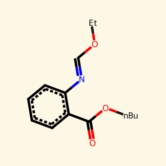 CCCCOC(=O)c1ccccc1N=COCC